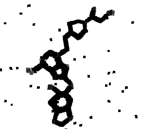 Nc1ncn(CCC2CCN(C(=O)CO)CC2)c2nc(Sc3cc4c(cc3Br)OCO4)nc1-2